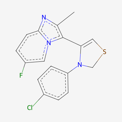 Cc1nc2ccc(F)cn2c1C1=CSCN1c1ccc(Cl)cc1